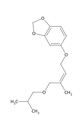 CC(=CCOc1ccc2c(c1)OCO2)COCC(C)C